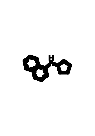 c1ccc2c(PC3CCCC3)cccc2c1